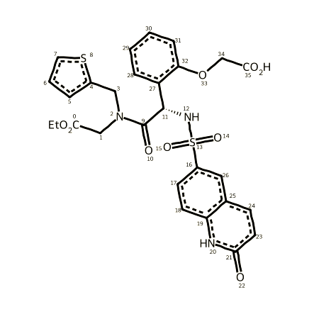 CCOC(=O)CN(Cc1cccs1)C(=O)[C@@H](NS(=O)(=O)c1ccc2[nH]c(=O)ccc2c1)c1ccccc1OCC(=O)O